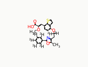 [2H]c1c([2H])c([2H])c(-c2nc(CC([2H])([2H])Oc3ccc(/C=C(\OC)C(=O)O)c4sccc34)c(C)o2)c([2H])c1[2H]